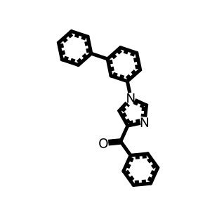 O=C(c1ccccc1)c1cn(-c2cccc(-c3ccccc3)c2)cn1